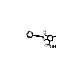 Cc1cc(C(=O)O)c2nc(C#Cc3ccccc3)[nH]c2c1